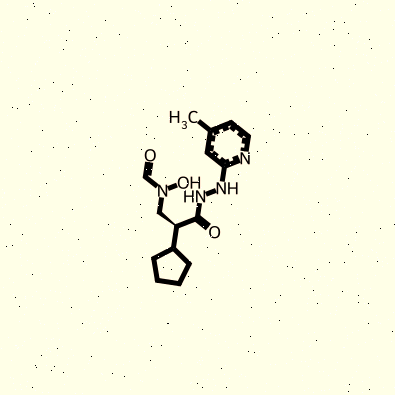 Cc1ccnc(NNC(=O)[C@H](CN(O)C=O)C2CCCC2)c1